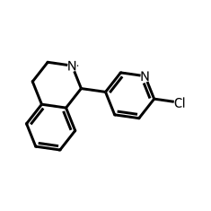 Clc1ccc(C2[N]CCc3ccccc32)cn1